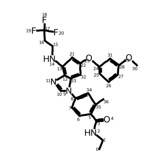 CCNC(=O)c1ccc(-n2cnc3c(NCCC(F)(F)F)cc(Oc4cccc(OC)c4)cc32)cc1C